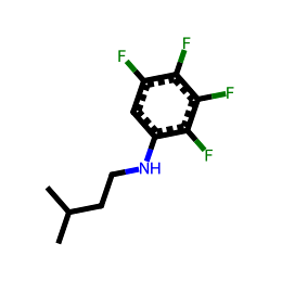 CC(C)CCNc1cc(F)c(F)c(F)c1F